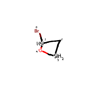 Br[SiH]1C[SiH2]O1